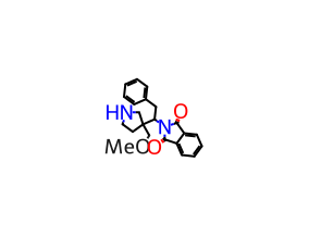 COCC1(C(Cc2ccccc2)N2C(=O)c3ccccc3C2=O)CCNC1